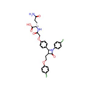 NC(=O)CC[C@H](NC(=O)COc1ccc(C2C(CCOc3ccc(F)cc3)C(=O)N2c2ccc(F)cc2)cc1)C(=O)O